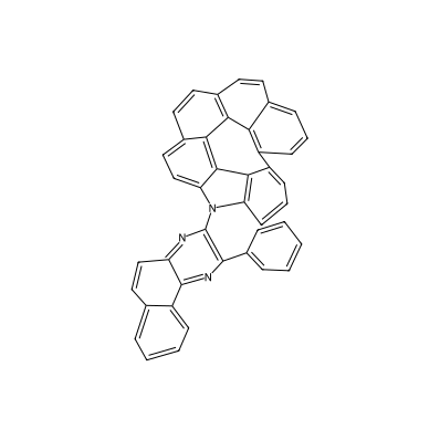 c1ccc(-c2nc3c(ccc4ccccc43)nc2-n2c3cccc4c3c3c5c(ccc6ccc7cccc-4c7c65)ccc32)cc1